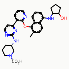 Cc1ccc2c(NC3CCCC3O)cccc2c1Oc1ncccc1-c1ccnc(N[C@H]2CCCN(C(=O)O)C2)n1